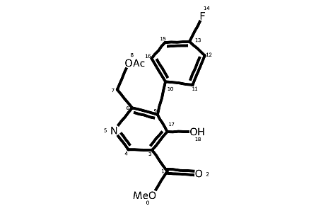 COC(=O)c1cnc(COC(C)=O)c(-c2ccc(F)cc2)c1O